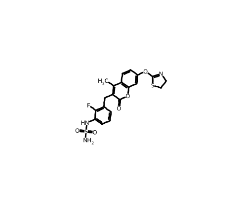 Cc1c(Cc2cccc(NS(N)(=O)=O)c2F)c(=O)oc2cc(OC3=NCCS3)ccc12